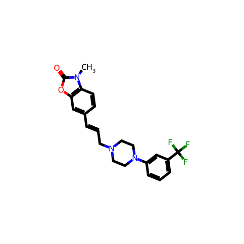 Cn1c(=O)oc2cc(/C=C/CN3CCN(c4cccc(C(F)(F)F)c4)CC3)ccc21